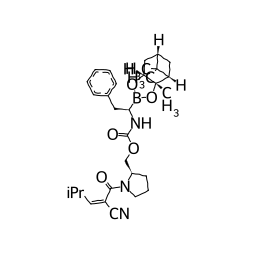 CC(C)/C=C(/C#N)C(=O)N1CCC[C@@H]1COC(=O)N[C@@H](Cc1ccccc1)B1O[C@@H]2C[C@@H]3C[C@@H](C3(C)C)[C@]2(C)O1